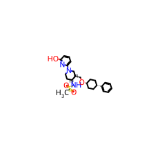 CS(=O)(=O)N[C@H]1CCN(c2cccc(O)n2)C[C@H]1CO[C@H]1CC[C@@H](c2ccccc2)CC1